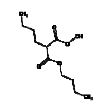 CCCCOC(=O)C(CCCC)C(=O)OO